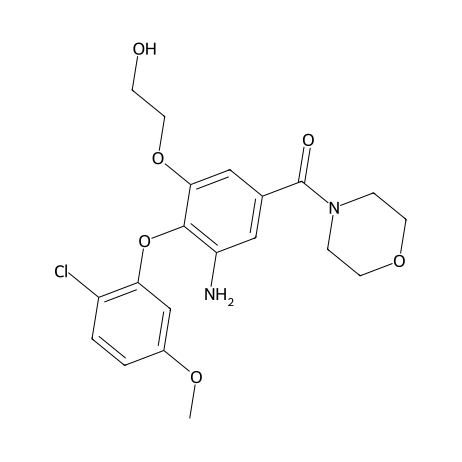 COc1ccc(Cl)c(Oc2c(N)cc(C(=O)N3CCOCC3)cc2OCCO)c1